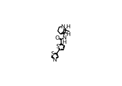 C[C@H]1[C@H](NC(=O)c2ccc(-c3cncs3)s2)C2CCN1CC2